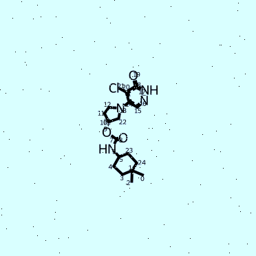 CC1(C)CCC(NC(=O)O[C@@H]2CCN(c3cn[nH]c(=O)c3Cl)C2)CC1